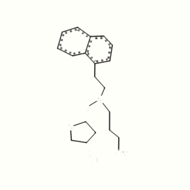 COCCCN(CCc1cccc2ccccc12)C[C@@H]1C[C@H](S)CN1